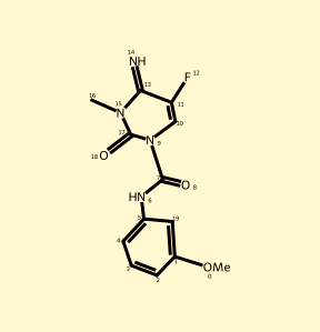 COc1cccc(NC(=O)n2cc(F)c(=N)n(C)c2=O)c1